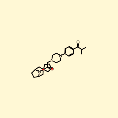 CC(C)C(=O)c1ccc(N2CCN(CC(=O)N3CC4CCC(C3)N4C3CCCC3)CC2)cc1